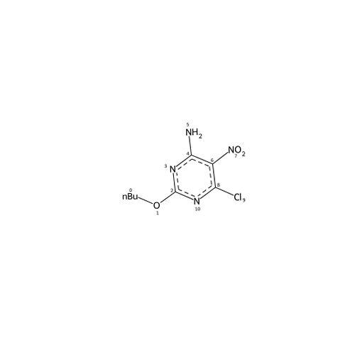 CCCCOc1nc(N)c([N+](=O)[O-])c(Cl)n1